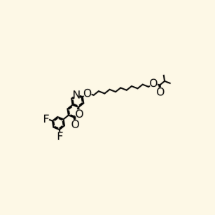 CC(C)C(=O)OCCCCCCCCCCCOc1cc2oc(=O)c(-c3cc(F)cc(F)c3)cc2cn1